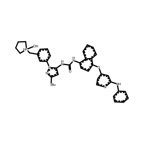 CC(C)(C)c1cc(NC(=O)Nc2ccc(Oc3ccnc(Nc4ccccc4)c3)c3ccccc23)n(-c2cccc(C[PH]3(O)CCCC3)c2)n1